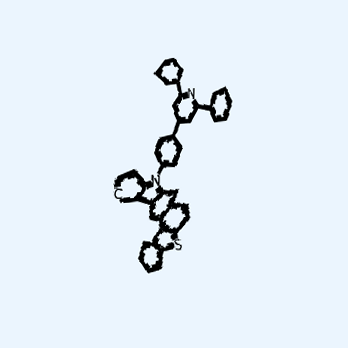 c1ccc(-c2cc(-c3ccc(-n4c5ccccc5c5cc6c(ccc7sc8ccccc8c76)cc54)cc3)cc(-c3ccccc3)n2)cc1